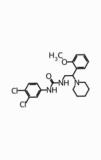 COc1ccccc1C(CNC(=O)Nc1ccc(Cl)c(Cl)c1)N1CCCCC1